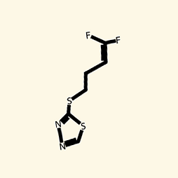 FC(F)=CCCSc1nncs1